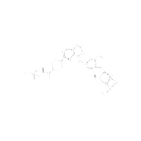 C#Cc1cc(Nc2ncnc3cnc(N4CCC(NC(=O)OC(C)(C)C)CC4)nc23)cc(OC)c1Oc1ccc2c(c1)ncn2C